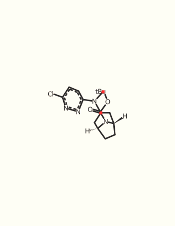 CN(c1ccc(Cl)nn1)C1C[C@@H]2CC[C@@H](C1)N2C(=O)OC(C)(C)C